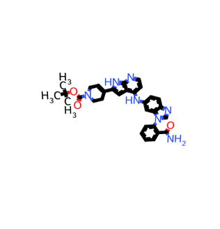 CC(C)(C)OC(=O)N1CC=C(c2cc3c(Nc4ccc5ncn(-c6ccccc6C(N)=O)c5c4)ccnc3[nH]2)CC1